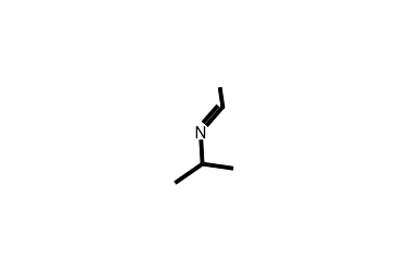 C/C=N/C(C)C